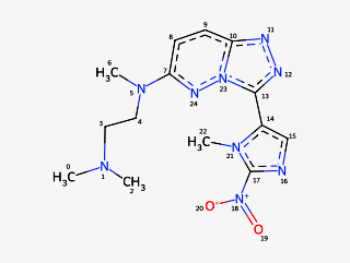 CN(C)CCN(C)c1ccc2nnc(-c3cnc([N+](=O)[O-])n3C)n2n1